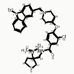 CCn1c2ccccc2c2cc(CN3CCC(Oc4ccc(C(=O)NCC5(N(C)C)CCSC5)cc4Cl)CC3)ccc21